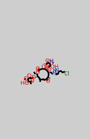 CC[C@H]1OC(=O)C[C@@H](O)[C@H](C)[C@@H](O[C@@H]2O[C@H](C)[C@@H](O)C(N(C)C)C2O)[C@@H](CCN2C=CC(CCCCl)N=N2)C[C@@H](C)C(=O)/C=C/C(C)=C/[C@@H]1COC1=C(OC)[C@@H](OC)[C@H](O)C(C)O1